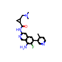 Cc1ccncc1-c1cc2cc(NC(=O)C3CC3CN(C)C)ncc2c(N)c1F